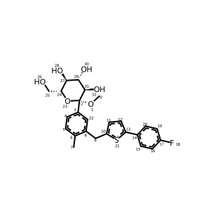 CO[C@]1(c2ccc(C)c(Cc3ccc(-c4ccc(F)cc4)s3)c2)O[C@H](CO)[C@@H](O)[C@H](O)[C@H]1O